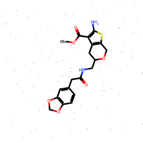 CC(C)(C)OC(=O)c1c(N)sc2c1CC(CNC(=O)Cc1ccc3c(c1)OCO3)OC2